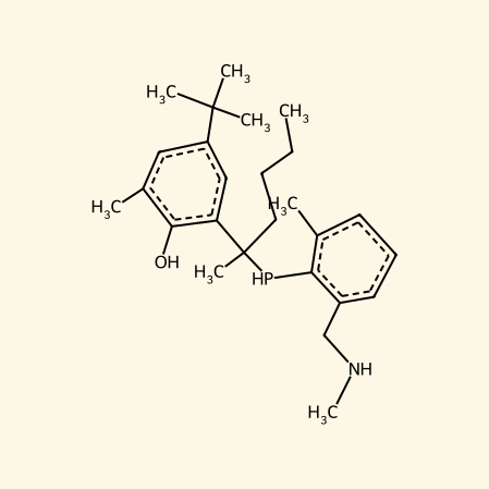 CCCCC(C)(Pc1c(C)cccc1CNC)c1cc(C(C)(C)C)cc(C)c1O